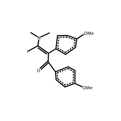 COc1ccc(C(=O)C(=C(I)N(C)C)c2ccc(OC)cc2)cc1